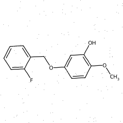 COc1ccc(O[CH]c2ccccc2F)cc1O